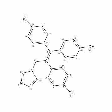 Oc1ccc(C(Cn2cncn2)=C(c2ccc(O)cc2)c2ccc(O)cc2)cc1